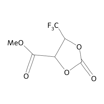 COC(=O)C1OC(=O)OC1C(F)(F)F